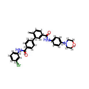 Cc1ccc(C(=O)Nc2ccc(N3CCOCC3)cc2)cc1-c1ccc(C(=O)Nc2cccc(Br)c2)cc1